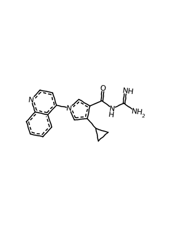 N=C(N)NC(=O)c1cn(-c2ccnc3ccccc23)cc1C1CC1